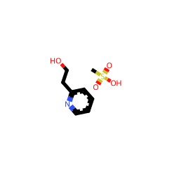 CS(=O)(=O)O.OCCc1ccccn1